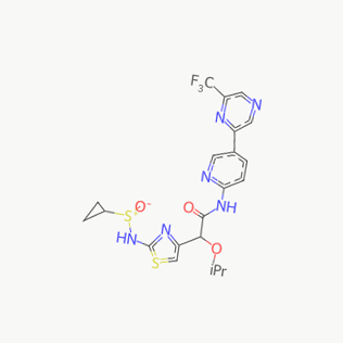 CC(C)OC(C(=O)Nc1ccc(-c2cncc(C(F)(F)F)n2)cn1)c1csc(N[S+]([O-])C2CC2)n1